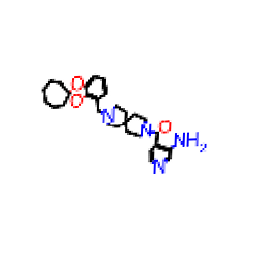 Nc1cnccc1C(=O)N1CCC2(CCN(Cc3cccc4c3OC3(CCCCCC3)O4)CC2)CC1